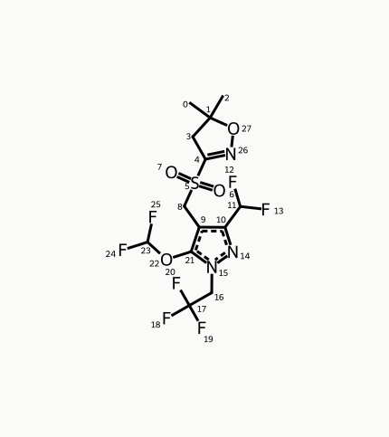 CC1(C)CC(S(=O)(=O)Cc2c(C(F)F)nn(CC(F)(F)F)c2OC(F)F)=NO1